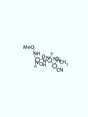 COCCNCc1cc(C(=O)Nc2cc(-c3ccc(C#N)cc3-c3nccn3C)cc(C3CC3)n2)c(=O)n(C2CC2)c1